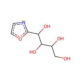 OCC(O)C(O)C(O)c1ncco1